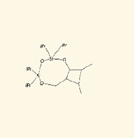 CC1C(C)C2O[Si](C(C)C)(C(C)C)O[Si](C(C)C)(C(C)C)OCC12